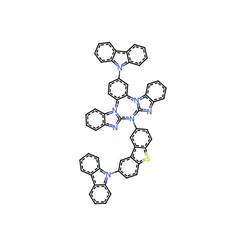 c1ccc2c(c1)nc1n(-c3ccc4sc5ccc(-n6c7ccccc7c7ccccc76)cc5c4c3)c3nc4ccccc4n3c3cc(-n4c5ccccc5c5ccccc54)ccc3n21